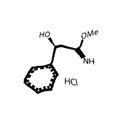 COC(=N)[C@H](O)c1ccccc1.Cl